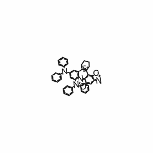 c1ccc(N(c2ccccc2)c2cc(C3=C(c4c5ncoc5cc5ncoc45)C4CCC3S4)cc(N(c3ccccc3)c3ccccc3)c2)cc1